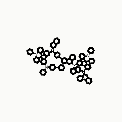 c1ccc(-c2ccc(N(c3ccccc3)c3ccc4c(c3)-c3cc(N(c5ccc(-c6ccc7cc(N(c8ccccc8)c8ccc9c(c8)-c8c(N(c%10ccccc%10)c%10cc%11ccccc%11c%11ccccc%10%11)cccc8C98c9ccccc9N(c9ccccc9)c9ccccc98)c8ccccc8c7c6)cc5)c5ccc6ccccc6c5)ccc3C43c4ccccc4N(c4ccccc4)c4ccccc43)cc2)cc1